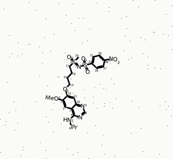 COc1cc2c(NC(C)C)ncnc2cc1OCCCCS(C)(=O)=NS(=O)(=O)c1ccc([N+](=O)[O-])cc1